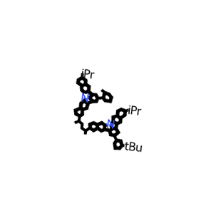 Cc1ccccc1-c1cc2c3cc4cc(C(C)C)ccc4cc3n3c4cc5ccc(C(C)CCC(C)c6ccc7cc8c(cc7c6)c6cc(-c7cccc(C(C)(C)C)c7)cc7c9cc%10cc(C(C)C)ccc%10cc9n8c76)cc5cc4c(c1)c23